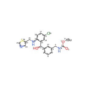 CC(C)(C)OC(=O)NCc1cccc(C(O)c2cc(Cl)ccc2NCc2cncs2)c1